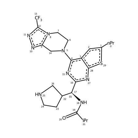 CCCc1cc2c(N3CCn4c(nnc4C(F)(F)F)C3)nc([C@@H](NC(=O)C(C)C)C3CCNC3)nc2s1